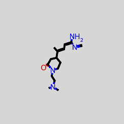 C=N/C(N)=C\C=C(/C)C1CCN(CCN(C)C)C(=O)C1